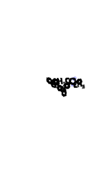 C=C1C/C=C\C(C2=CCCC=C2)/C(C)=C\C1C1=CCC(n2c3c(c4ccc(-c5cccc6c5OC5C=CC=CC65)cc42)CCC=C3)C=C1